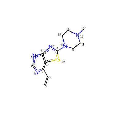 C=Cc1ncnc2nc(N3CCN(C)CC3)sc12